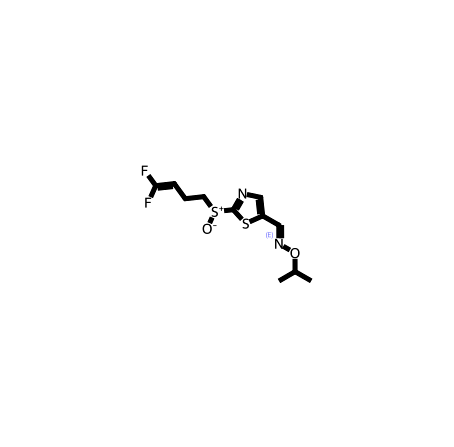 CC(C)O/N=C/c1cnc([S+]([O-])CCC=C(F)F)s1